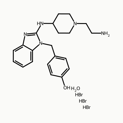 Br.Br.Br.NCCN1CCC(Nc2nc3ccccc3n2Cc2ccc(O)cc2)CC1.O